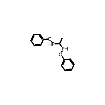 CC(POc1ccccc1)POc1ccccc1